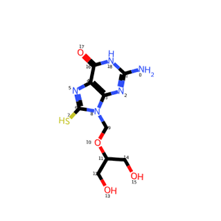 Nc1nc2c(nc(S)n2COC(CO)CO)c(=O)[nH]1